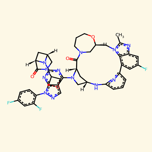 Cc1nc2cc(F)cc3c2n1C[C@H]1CN(CCCO1)C(=O)[C@@H]1C[C@@H](CN1c1nc(N2[C@@H]4C[C@H]2C(=O)N(C2COC2)C4)nc2c1cnn2-c1ccc(F)cc1F)Nc1cccc-3n1